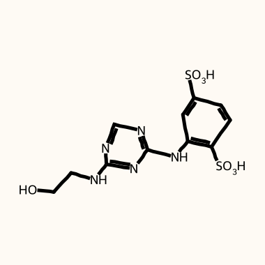 O=S(=O)(O)c1ccc(S(=O)(=O)O)c(Nc2ncnc(NCCO)n2)c1